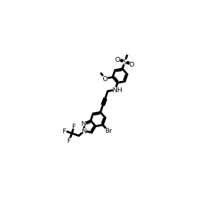 COc1cc(S(C)(=O)=O)ccc1NCC#Cc1cc(Br)c2cn(CC(F)(F)F)nc2c1